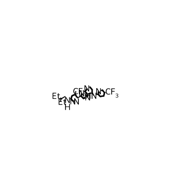 CCC(CC)CNc1cc(C(F)(F)F)c(-c2cnc3c(Nc4ccc(C(F)(F)F)cn4)ccnc3n2)nn1